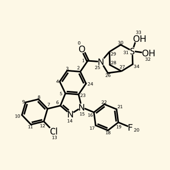 O=C(c1ccc2c(-c3ccccc3Cl)nn(-c3ccc(F)cc3)c2c1)N1CC2CC1CS(O)(O)C2